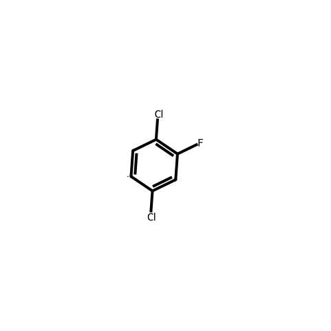 Fc1cc(Cl)[c]cc1Cl